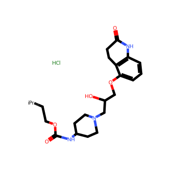 CC(C)CCOC(=O)NC1CCN(CC(O)COc2cccc3c2CCC(=O)N3)CC1.Cl